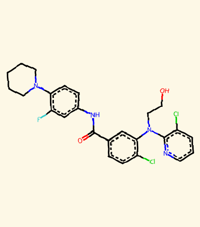 O=C(Nc1ccc(N2CCCCC2)c(F)c1)c1ccc(Cl)c(N(CCO)c2ncccc2Cl)c1